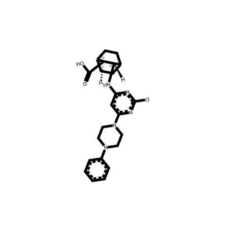 O=C(O)[C@H]1C2CCC(CC2)[C@@H]1Nc1cc(N2CCN(c3ccccc3)CC2)nc(Cl)n1